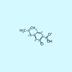 CC(C)Sc1ccc(C(=O)O)c(Cl)c1